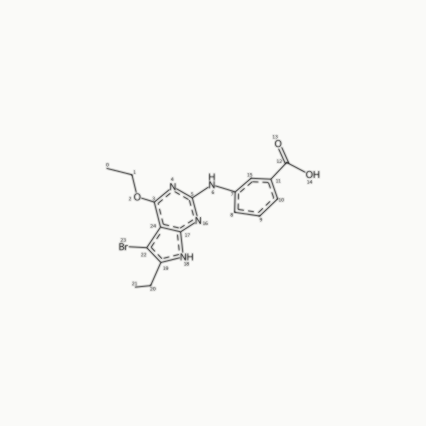 CCOc1nc(Nc2cccc(C(=O)O)c2)nc2[nH]c(CC)c(Br)c12